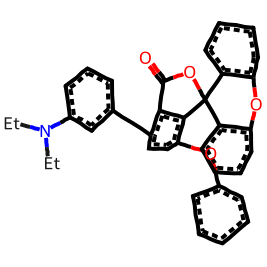 CCN(CC)c1cccc(-c2ccc(Oc3ccccc3)c3c2C(=O)OC32c3ccccc3Oc3ccccc32)c1